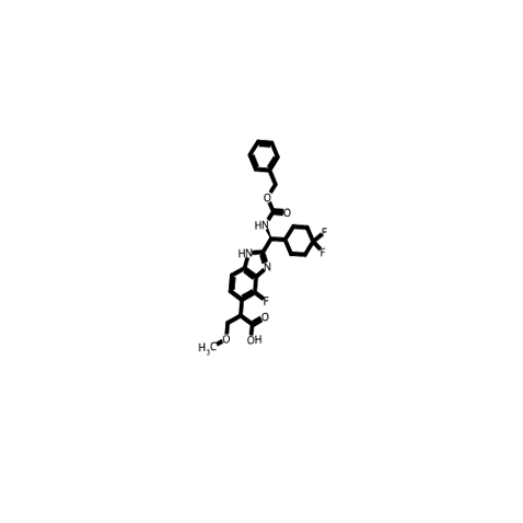 COCC(C(=O)O)c1ccc2[nH]c([C@@H](NC(=O)OCc3ccccc3)C3CCC(F)(F)CC3)nc2c1F